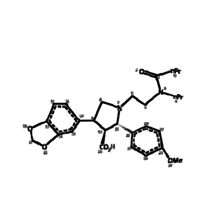 CCCC(=O)N(CCC)CCN1CC(c2ccc3c(c2)OCO3)[C@H](C(=O)O)[C@H]1c1ccc(OC)cc1